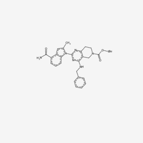 Cc1cc2c(C(N)=O)cccc2n1-c1nc2c(c(NCc3ccccc3)n1)CN(C(=O)OC(C)(C)C)CC2